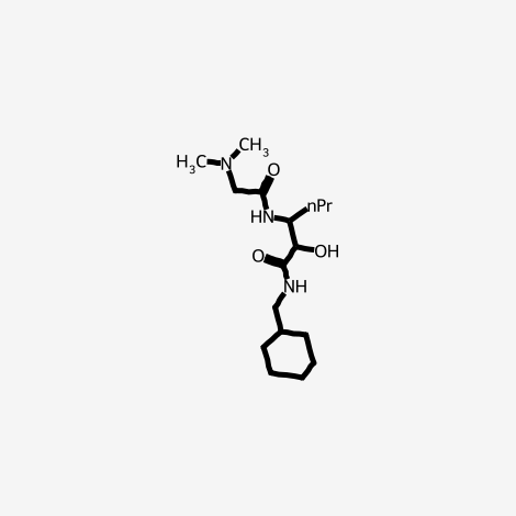 CCCC(NC(=O)CN(C)C)C(O)C(=O)NCC1CCCCC1